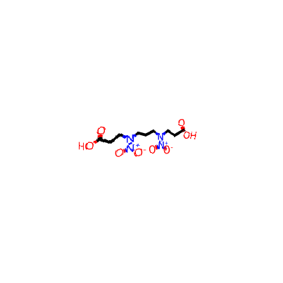 O=C(O)CCN(CCCN(CCC(=O)O)[N+](=O)[O-])[N+](=O)[O-]